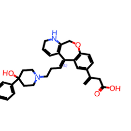 C=C(CC(=O)O)c1ccc2c(c1)/C(=C/CCN1CCC(O)(c3ccc(Cl)cc3)CC1)C1=C(CO2)NCC=C1